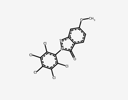 COc1ccc2c(=O)n(-c3c(Cl)c(Cl)c(Cl)c(Cl)c3Cl)sc2c1